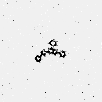 c1ccc(-c2cnn(-c3nc(N4CCOCC4)c4oc(-c5ccccn5)cc4n3)c2)cc1